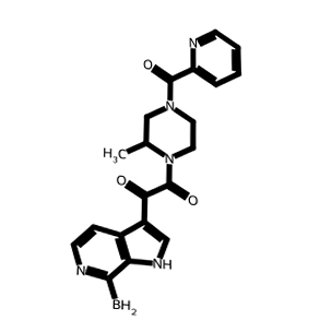 Bc1nccc2c(C(=O)C(=O)N3CCN(C(=O)c4ccccn4)CC3C)c[nH]c12